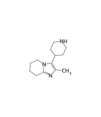 Cc1nc2n(c1C1CCNCC1)CCCC2